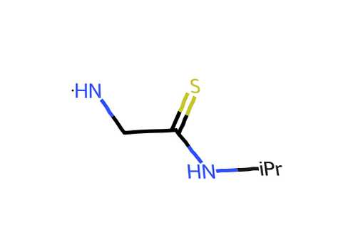 CC(C)NC(=S)C[NH]